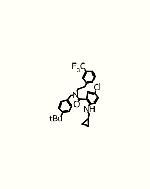 CC(C)(C)c1ccc(CN(CCc2cccc(C(F)(F)F)c2)C(=O)c2cc(Cl)ccc2NCC2CC2)cc1